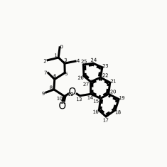 CC(C)C(C)CC(C)C(C)C(=O)OCc1c2ccccc2cc2ccccc12